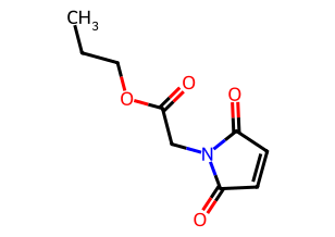 CCCOC(=O)CN1C(=O)C=CC1=O